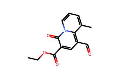 CCOC(=O)c1cc(C=O)c2c(C)cccn2c1=O